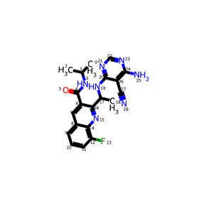 CC(C)NC(=O)c1cc2cccc(F)c2nc1C(C)Nc1ncnc(N)c1C#N